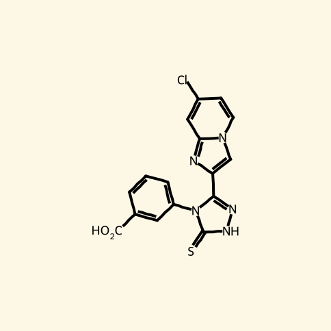 O=C(O)c1cccc(-n2c(-c3cn4ccc(Cl)cc4n3)n[nH]c2=S)c1